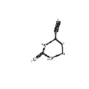 C#CC1CCOC(=O)S1